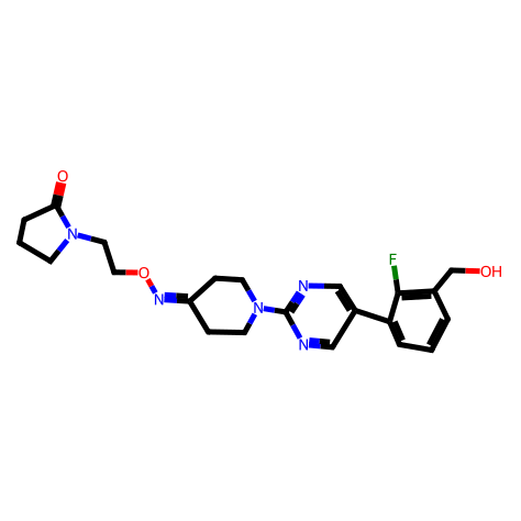 O=C1CCCN1CCON=C1CCN(c2ncc(-c3cccc(CO)c3F)cn2)CC1